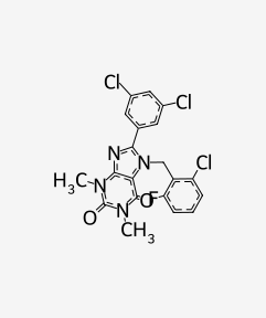 Cn1c(=O)c2c(nc(-c3cc(Cl)cc(Cl)c3)n2Cc2c(F)cccc2Cl)n(C)c1=O